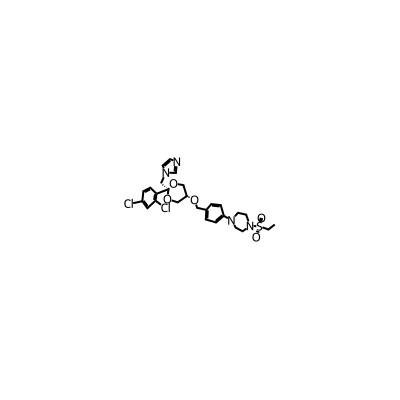 CCS(=O)(=O)N1CCN(c2ccc(CO[C@H]3CO[C@](Cn4ccnc4)(c4ccc(Cl)cc4Cl)OC3)cc2)CC1